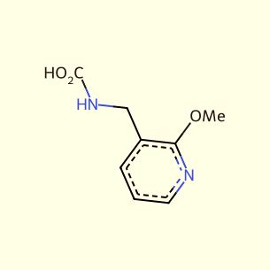 COc1ncccc1CNC(=O)O